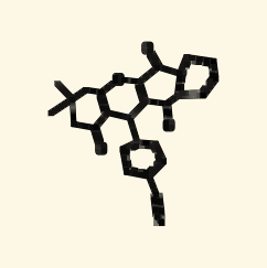 CC1(C)CC(=O)C2=C(C1)OC1=C(C(=O)c3ccccc3C1=O)C2c1ccc(C#N)cc1